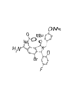 COc1ccc(CN2C(=O)c3c(c(Br)cc4c(N)nn(C(=O)OC(C)(C)C)c34)C2c2cc(F)ccc2Cl)cc1